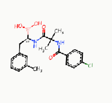 Cc1cccc(C[C@H](NC(=O)C(C)(C)NC(=O)c2ccc(Cl)cc2)B(O)O)c1